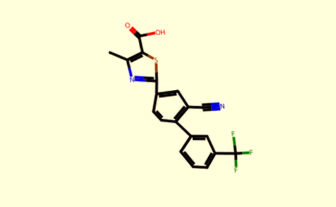 Cc1nc(-c2ccc(-c3cccc(C(F)(F)F)c3)c(C#N)c2)sc1C(=O)O